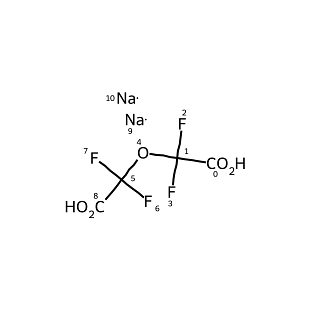 O=C(O)C(F)(F)OC(F)(F)C(=O)O.[Na].[Na]